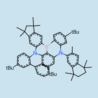 Cc1cc2c(cc1N1c3cc(C(C)(C)C)ccc3B3c4cc5c(cc4N(c4ccc(C(C)(C)C)cc4-c4ccccc4)c4cc(C(C)(C)C)cc1c43)C(C)(C)CC5(C)C)C(C)(C)CCC2(C)C